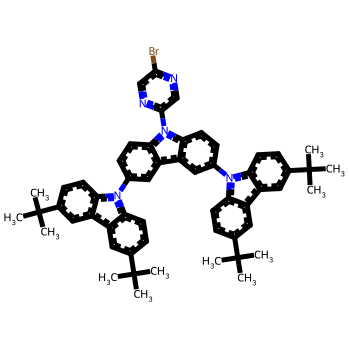 CC(C)(C)c1ccc2c(c1)c1cc(C(C)(C)C)ccc1n2-c1ccc2c(c1)c1cc(-n3c4ccc(C(C)(C)C)cc4c4cc(C(C)(C)C)ccc43)ccc1n2-c1cnc(Br)cn1